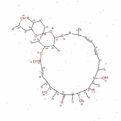 CCC1/C=C\C=C/CC(C)C(O)C(C)C(=O)C(C)C(O)C(C)C(=O)C(C)C(O)C(C)/C=C\C(=O)OC2C(C)C(CC1)OC1(CCC(C)C(CC(C)O)O1)C2C